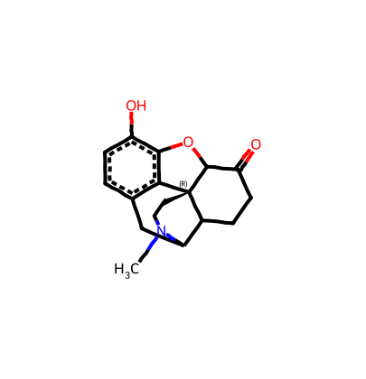 CN1CC[C@@]23c4c5ccc(O)c4OC2C(=O)CCC3C1C5